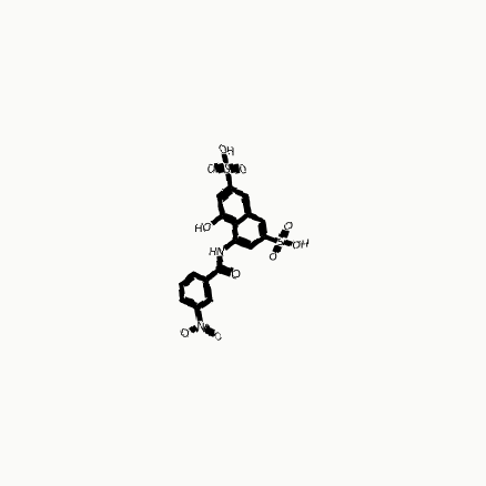 O=C(Nc1cc(S(=O)(=O)O)cc2cc(S(=O)(=O)O)cc(O)c12)c1cccc([N+](=O)[O-])c1